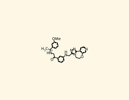 COc1cccc([C@H](C)NCC(=O)c2cccc(NCc3nnc4n3CCOc3cnccc3-4)c2)c1